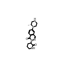 C[C@@H]1CNCCN1c1ccc2c(=O)n(C3CCCNC3=O)ncc2c1